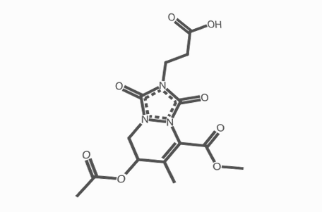 COC(=O)C1=C(C)C(OC(C)=O)Cn2c(=O)n(CCC(=O)O)c(=O)n21